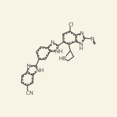 C=Nc1nc2c(Cl)cc(-c3nc4ccc(-c5nc6ccc(C#N)cc6[nH]5)cc4[nH]3)c(C3BCC3)c2[nH]1